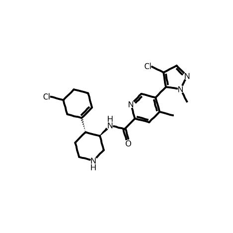 Cc1cc(C(=O)N[C@H]2CNCC[C@@H]2C2=CCCC(Cl)C2)ncc1-c1c(Cl)cnn1C